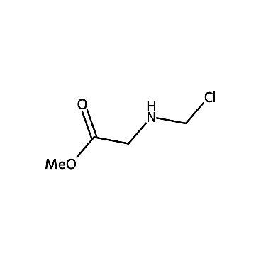 COC(=O)CNCCl